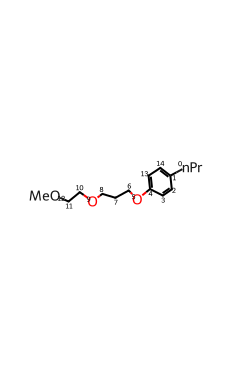 CCCc1ccc(OCCCOCCOC)cc1